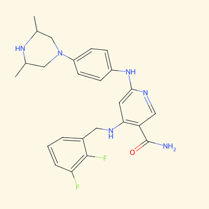 CC1CN(c2ccc(Nc3cc(NCc4cccc(F)c4F)c(C(N)=O)cn3)cc2)CC(C)N1